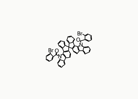 O=C(c1ccccc1Br)n1c2ccccc2c2ccc3c(c21)-c1ccccc1C31c2ccccc2-c2c1ccc1c3ccccc3n(C(=O)c3ccccc3Br)c21